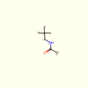 C[CH]C(=O)NCC(C)(C)C